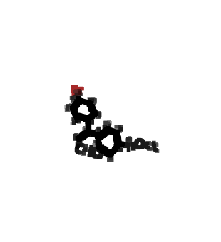 CCCCCCCCc1ccc(/C(=C\C=O)c2ccc(Br)cc2)cc1